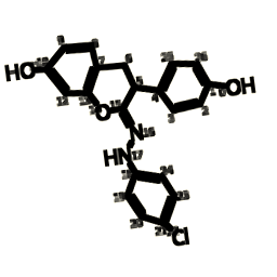 Oc1ccc(C2Cc3ccc(O)cc3OC2=NNc2ccc(Cl)cc2)cc1